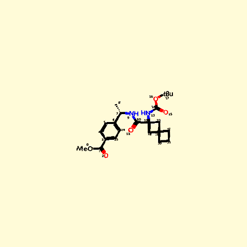 COC(=O)c1ccc([C@H](C)NC(=O)C2(NC(=O)OC(C)(C)C)CC3(CCC3)C2)cc1